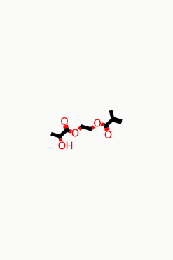 C=C(C)C(=O)OCCOC(=O)C(C)O